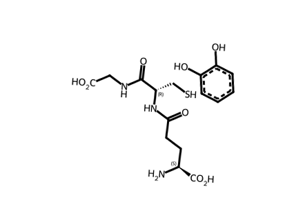 N[C@@H](CCC(=O)N[C@@H](CS)C(=O)NCC(=O)O)C(=O)O.Oc1ccccc1O